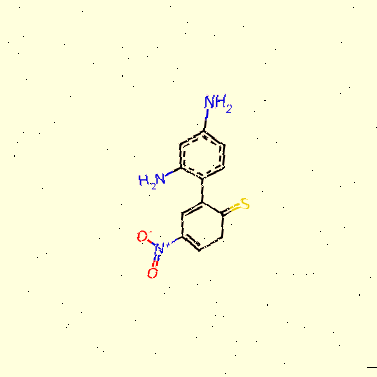 Nc1ccc(C2=CC([N+](=O)[O-])=CCC2=S)c(N)c1